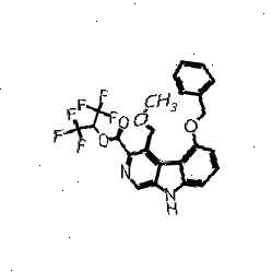 COCc1c(C(=O)OC(C(F)(F)F)C(F)(F)F)ncc2[nH]c3cccc(OCc4ccccc4)c3c12